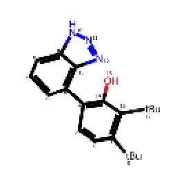 CC(C)(C)c1ccc(-c2cccc3[nH]nnc23)c(O)c1C(C)(C)C